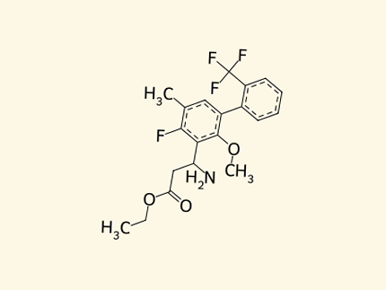 CCOC(=O)CC(N)c1c(F)c(C)cc(-c2ccccc2C(F)(F)F)c1OC